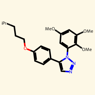 COc1cc(OC)c(OC)c(-n2nncc2-c2ccc(OCCCC(C)C)cc2)c1